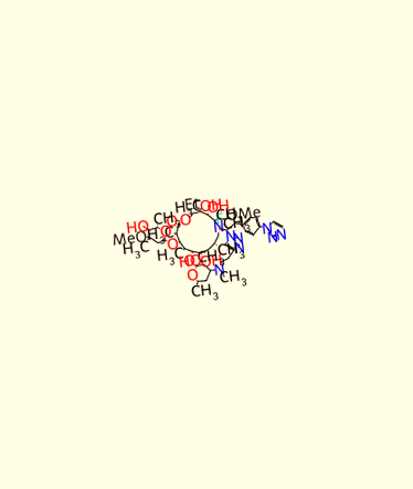 CC[C@H]1OC(=O)[C@H](C)[C@@H](O[C@H]2C[C@@](C)(OC)[C@@H](O)[C@H](C)O2)[C@H](C)[C@@H](O[C@@H]2O[C@H](C)C[C@H](N(C)CCc3cn(C(CF)[C@H](OC)c4ccc(-n5ccnn5)cc4)nn3)[C@H]2O)[C@](C)(O)C[C@@H](C)CN(C)[C@H](C)[C@@H](O)[C@]1(C)O